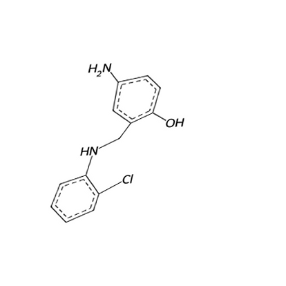 Nc1ccc(O)c(CNc2ccccc2Cl)c1